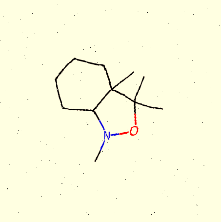 CN1OC(C)(C)C2(C)CCCCC12